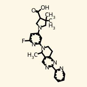 CC1c2cnc(-c3ccccn3)nc2CCN1c1cc(N2CC(C(=O)O)C(C)(C)C2)cc(F)n1